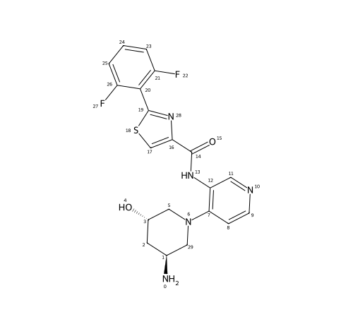 N[C@H]1C[C@H](O)CN(c2ccncc2NC(=O)c2csc(-c3c(F)cccc3F)n2)C1